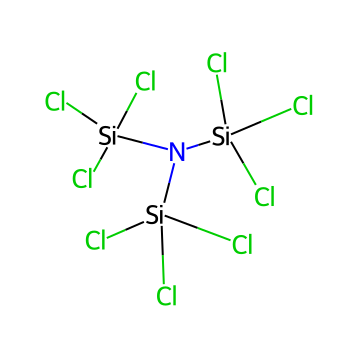 Cl[Si](Cl)(Cl)N([Si](Cl)(Cl)Cl)[Si](Cl)(Cl)Cl